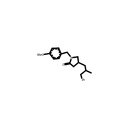 COc1ccc(CN2CC(CC(C)CC(C)C)CC2=O)cc1